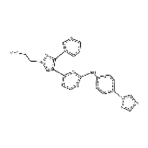 COCCn1cc(-c2ccnc(Nc3ccc(-n4cncn4)cc3)n2)c(-c2cccnc2)n1